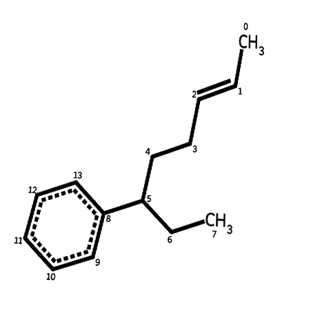 CC=CCCC(CC)c1ccccc1